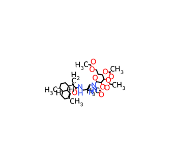 C=C(C(=O)NCc1cn(C2OC(COC(C)=O)C(OC(C)=O)C(OC(C)=O)C2OC(C)=O)nn1)[C@@H]1CC[C@@H](C)[C@@H]2CCC(C)=C[C@@H]21